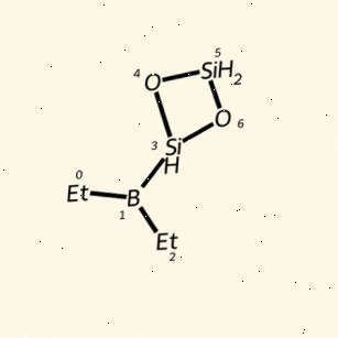 CCB(CC)[SiH]1O[SiH2]O1